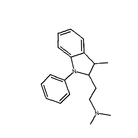 CC1c2ccccc2N(c2ccccc2)C1CCN(C)C